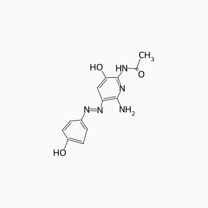 CC(=O)Nc1nc(N)c(/N=N/c2ccc(O)cc2)cc1O